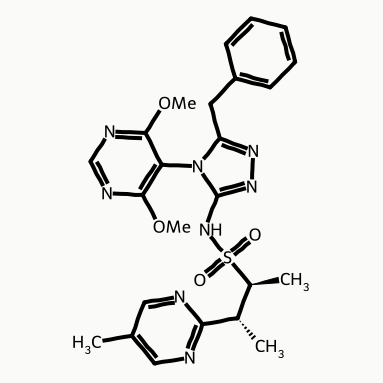 COc1ncnc(OC)c1-n1c(Cc2ccccc2)nnc1NS(=O)(=O)[C@@H](C)[C@H](C)c1ncc(C)cn1